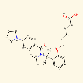 [2H]C([2H])(c1ccccc1OCCCCCC(=O)O)N(C(=O)c1ccc(N2CCCC2)cc1)C(C)C